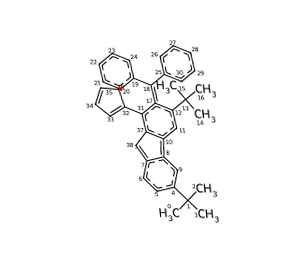 CC(C)(C)c1ccc2c(c1)=c1cc(C(C)(C)C)c(=C(c3ccccc3)c3ccccc3)c(C3=CC=CC3)c1[C]=2